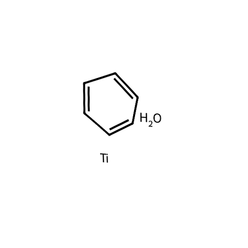 O.[Ti].c1ccccc1